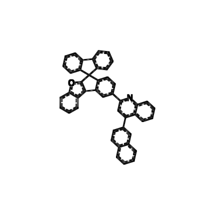 c1ccc2c(c1)-c1ccccc1C21c2ccc(-c3cc(-c4ccc5ccccc5c4)c4ccccc4n3)cc2-c2c1oc1ccccc21